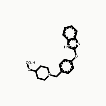 O=C(O)OC1CCN(Cc2ccc(Oc3nc4ccccc4[nH]3)cc2)CC1